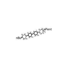 CCCCCC1(C)CCC(c2ccc(-c3ccc(C4CCC(CCCC)CC4)cc3)cc2)CC1